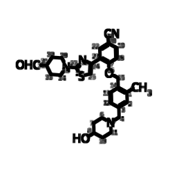 Cc1cc(CN2CCC(O)CC2)ccc1COc1ccc(C#N)cc1-c1csc(N2CCC(C=O)CC2)n1